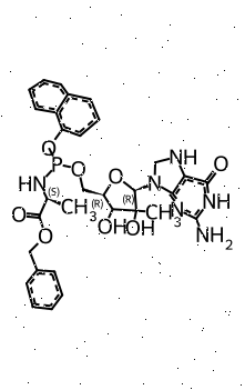 C[C@H](NP(OC[C@H]1O[C@@H](N2CNc3c2nc(N)[nH]c3=O)C(C)(O)C1O)Oc1cccc2ccccc12)C(=O)OCc1ccccc1